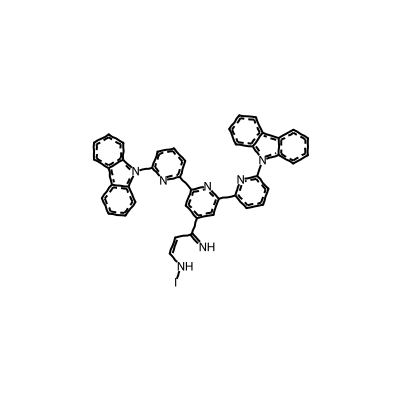 N=C(/C=C\NI)c1cc(-c2cccc(-n3c4ccccc4c4ccccc43)n2)nc(-c2cccc(-n3c4ccccc4c4ccccc43)n2)c1